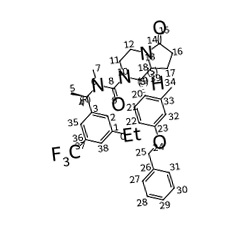 CCc1cc([C@@H](C)N(C)C(=O)N2CCN3C(=O)CC[C@H]3[C@@H]2c2ccc(OCc3ccccc3)cc2C)cc(C(F)(F)F)c1